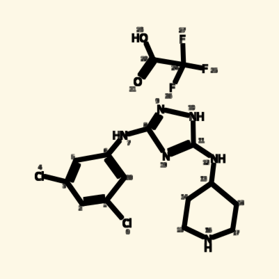 Clc1cc(Cl)cc(Nc2n[nH]c(NC3CCNCC3)n2)c1.O=C(O)C(F)(F)F